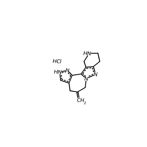 C=C1Cc2c[nH]nc2-c2c3c(nn2C1)CCNC3.Cl